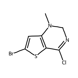 CN1CN=C(Cl)c2sc(Br)cc21